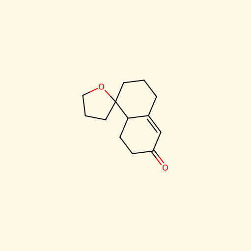 O=C1C=C2CCCC3(CCCO3)C2CC1